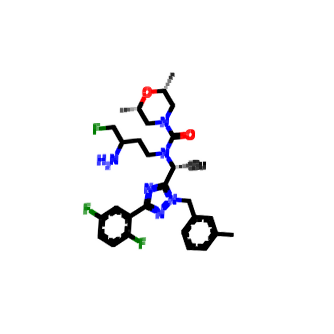 Cc1cccc(Cn2nc(-c3cc(F)ccc3F)nc2[C@H](N(CCC(N)CF)C(=O)N2C[C@@H](C)O[C@@H](C)C2)C(C)(C)C)c1